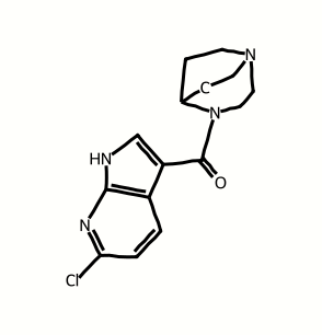 O=C(c1c[nH]c2nc(Cl)ccc12)N1CCN2CCC1CC2